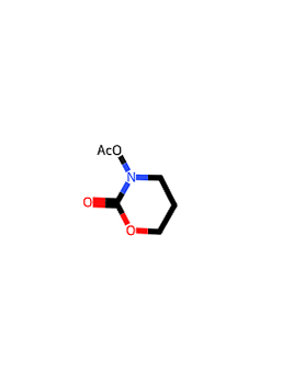 CC(=O)ON1CCCOC1=O